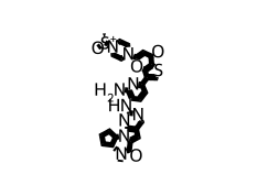 CN(C)C(=O)c1cc2cnc(Nc3ccc(-c4csc5c(=O)cc(N6CCN([S@+](C)[O-])CC6)oc45)nc3N)nc2n1C1CCCC1